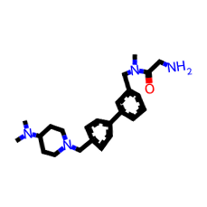 CN(Cc1cccc(-c2ccc(CN3CCC(N(C)C)CC3)cc2)c1)C(=O)CN